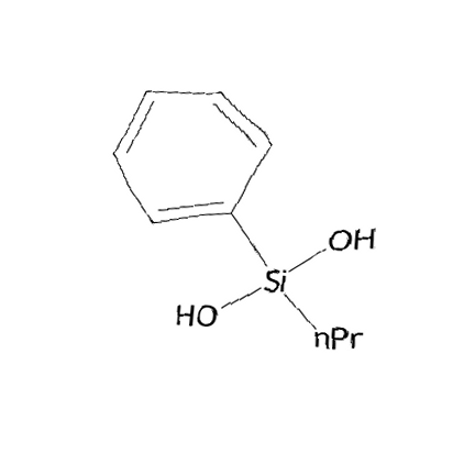 CCC[Si](O)(O)c1ccccc1